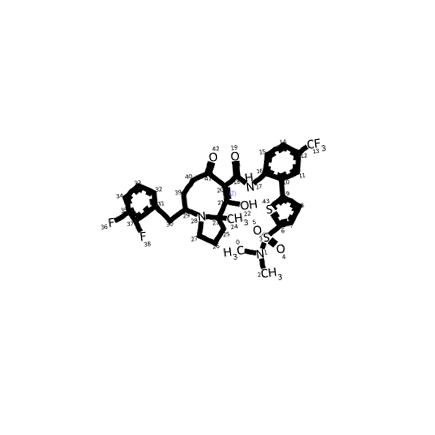 CN(C)S(=O)(=O)c1ccc(-c2cc(C(F)(F)F)ccc2NC(=O)/C2=C(\O)C3(C)CCCN3C(Cc3cccc(F)c3F)CCC2=O)s1